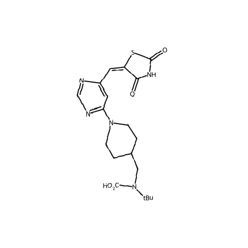 CC(C)(C)N(CC1CCN(c2cc(C=C3SC(=O)NC3=O)ncn2)CC1)C(=O)O